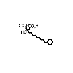 O=C(O)CC(O)(CCCCCCCCCC1CCCCC1)CC(=O)O